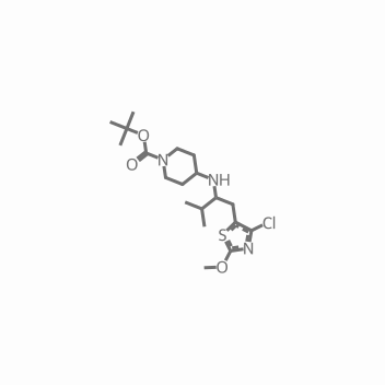 COc1nc(Cl)c(CC(NC2CCN(C(=O)OC(C)(C)C)CC2)C(C)C)s1